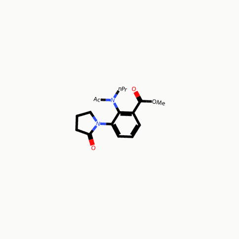 CCCN(C(C)=O)c1c(C(=O)OC)cccc1N1CCCC1=O